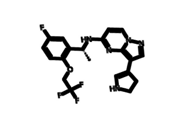 C[C@@H](Nc1ccn2ncc(C3=CNCC3)c2n1)c1cc(F)ccc1OCC(F)(F)F